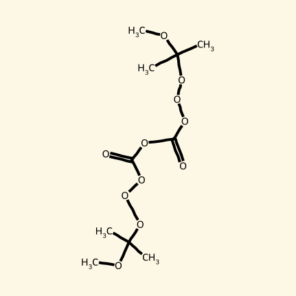 COC(C)(C)OOOC(=O)OC(=O)OOOC(C)(C)OC